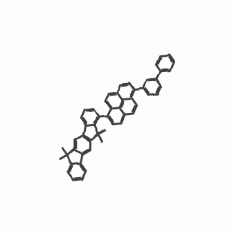 CC1(C)c2ccccc2-c2cc3c(cc21)-c1cccc(-c2ccc4ccc5c(-c6cccc(-c7ccccc7)c6)ccc6ccc2c4c65)c1C3(C)C